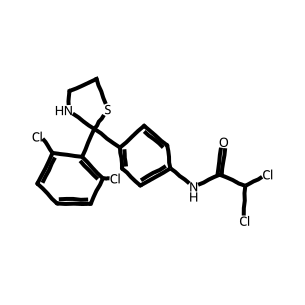 O=C(Nc1ccc(C2(c3c(Cl)cccc3Cl)NCCS2)cc1)C(Cl)Cl